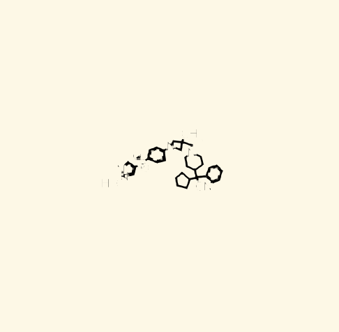 Cn1cc(S(=O)(=O)c2ccc(N3CC(C)(CN4CCC(C(C#N)(c5ccccc5)C5CCCC5)CC4)C3)cc2)cn1